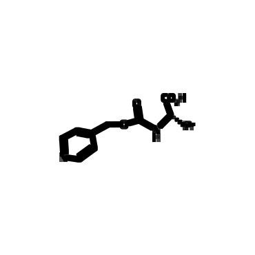 CC(C)[C@H](NC(=O)OCc1ccncc1)C(=O)O